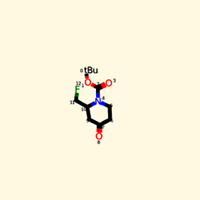 CC(C)(C)OC(=O)N1CCC(=O)CC1CF